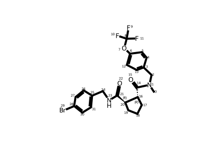 CN(Cc1ccc(OC(F)(F)F)cc1)C(=O)[C@@H]1CCC[C@H]1C(=O)NCc1ccc(Br)cc1